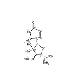 CCCCO[C@@H]1[C@@H]([C](O)=[SnH2])O[C@@H](n2ccc(=O)[nH]c2=O)[C@@]1(O)CCCC